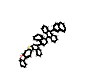 c1ccc2cc(-c3c4ccccc4c(-c4ccc(-c5cc6sc7cc8oc9ccccc9c8cc7c6c6ccccc56)c5ccccc45)c4ccccc34)ccc2c1